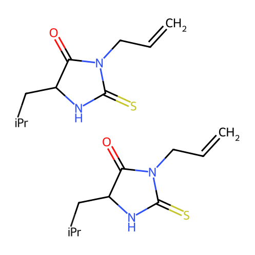 C=CCN1C(=O)C(CC(C)C)NC1=S.C=CCN1C(=O)C(CC(C)C)NC1=S